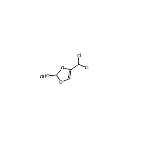 O=CC1OC=C(C(Cl)Cl)O1